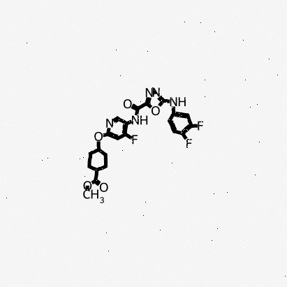 COC(=O)C1CCC(Oc2cc(F)c(NC(=O)c3nnc(Nc4ccc(F)c(F)c4)o3)cn2)CC1